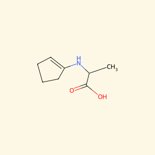 CC(NC1=CCCC1)C(=O)O